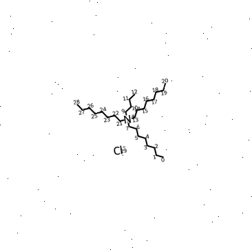 CCCCCCCC[N+](CCCC)(CCCCCCCC)CCCCCCCC.[Cl-]